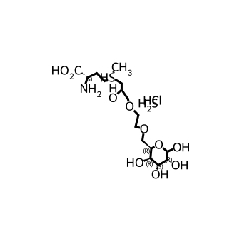 C[SH](CC[C@H](N)C(=O)O)CC(O)COCCOC[C@H]1OC(O)[C@H](O)[C@@H](O)[C@H]1O.Cl.S